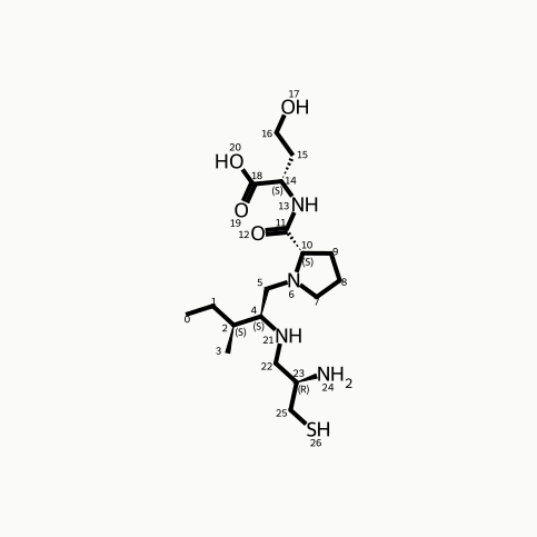 CC[C@H](C)[C@@H](CN1CCC[C@H]1C(=O)N[C@@H](CCO)C(=O)O)NC[C@@H](N)CS